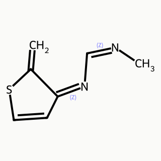 C=C1SC=C/C1=N/C=N\C